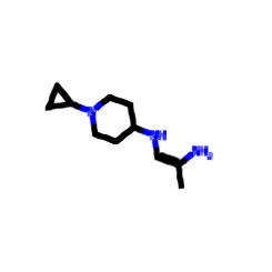 CC(N)=CNC1CCN(C2CC2)CC1